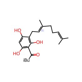 CCC(C)C(=O)c1c(O)cc(O)c(C/C=C(\C)CCC=C(C)C)c1O